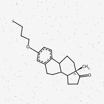 C[C@]12CCC3c4ccc(OCCCI)cc4CCC3C1CCC2=O